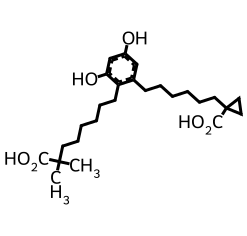 CC(C)(CCCCCCc1c(O)cc(O)cc1CCCCCCC1(C(=O)O)CC1)C(=O)O